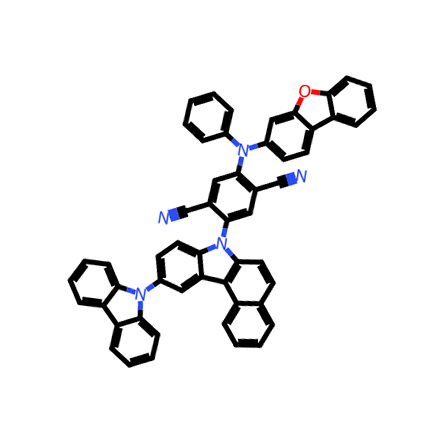 N#Cc1cc(-n2c3ccc(-n4c5ccccc5c5ccccc54)cc3c3c4ccccc4ccc32)c(C#N)cc1N(c1ccccc1)c1ccc2c(c1)oc1ccccc12